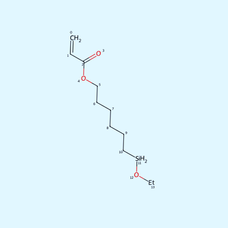 C=CC(=O)OCCCCCC[SiH2]OCC